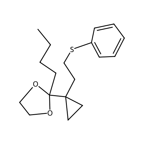 CCCCC1(C2(CCSc3ccccc3)CC2)OCCO1